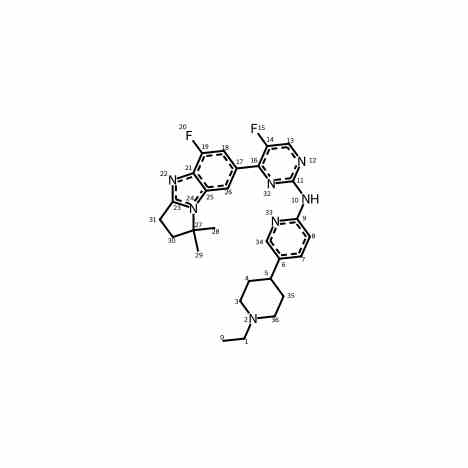 CCN1CCC(c2ccc(Nc3ncc(F)c(-c4cc(F)c5nc6n(c5c4)C(C)(C)CC6)n3)nc2)CC1